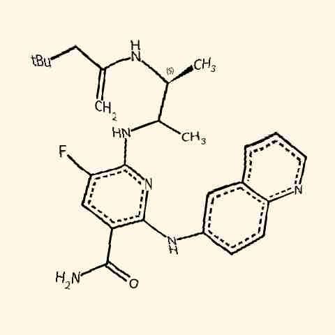 C=C(CC(C)(C)C)N[C@@H](C)C(C)Nc1nc(Nc2ccc3ncccc3c2)c(C(N)=O)cc1F